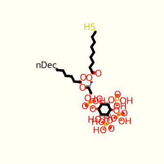 CCCCCCCCCCCCCCCC(=O)O[C@H](COC(=O)CCCCCCCCS)COP(=O)(O)OC1C(O)[C@H](OP(=O)(O)O)C(OP(=O)(O)O)[C@H](OP(=O)(O)O)[C@@H]1O